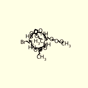 CCCCOc1c2cccc1C(=O)NCCN(CCOCCOCCOC)CCNC(=O)c1cccc(c1OCCCC)C(=O)NCCN(CCBr)CCNC2=O